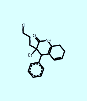 CCC1(CCCCl)C(=O)NC2=C(C=CCC2)C1c1ccccc1